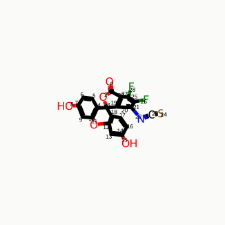 O=C1OC2(c3ccc(O)cc3Oc3cc(O)ccc32)c2cc(N=C=S)c(F)c(F)c21